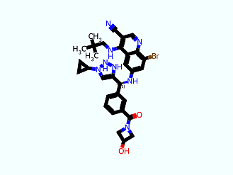 CC(C)(C)CNc1c(C#N)cnc2c(Br)cc(N[C@H](C3=CN(C4CC4)NN3)c3cccc(C(=O)N4CC(O)C4)c3)cc12